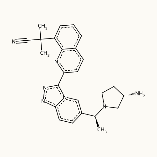 C[C@@H](c1ccc2nnc(-c3ccc4cccc(C(C)(C)C#N)c4n3)n2c1)N1CC[C@H](N)C1